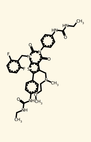 CCNC(=O)Nc1ccc(-c2sc3c(c2CN(C)CCOC)c(=O)n(-c2ccc(NC(=O)NCC)cc2)c(=O)n3Cc2c(F)cccc2F)cc1